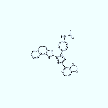 CC(=O)Nc1ccc(-n2nc(-c3cccc4c3OCO4)n[n+]2-c2nc3c(ccc4ccccc43)s2)cc1